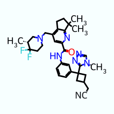 C[C@@H]1CN(Cc2cc(C(=O)Nc3cccc(C4(c5nncn5C)CC(CC#N)C4)c3)nc3c2CCC3(C)C)CCC1(F)F